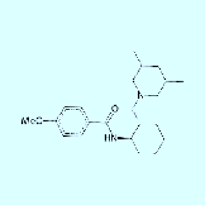 COc1ccc(C(=O)N[C@@H]2CCCC[C@H]2CN2CC(C)CC(C)C2)cc1